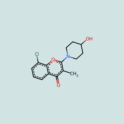 Cc1c(N2CCC(O)CC2)oc2c(Cl)cccc2c1=O